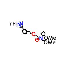 CCCn1cc(-c2cccc(CCOCCC(=O)N(CC(OC)OC)C3CCCC3)c2)cn1